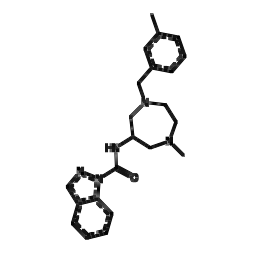 Cc1cccc(CN2CCN(C)CC(NC(=O)n3ncc4ccccc43)C2)c1